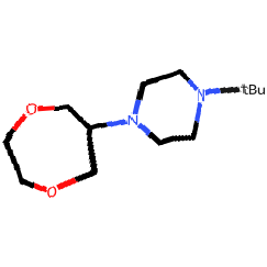 CC(C)(C)N1CCN(C2COCCOC2)CC1